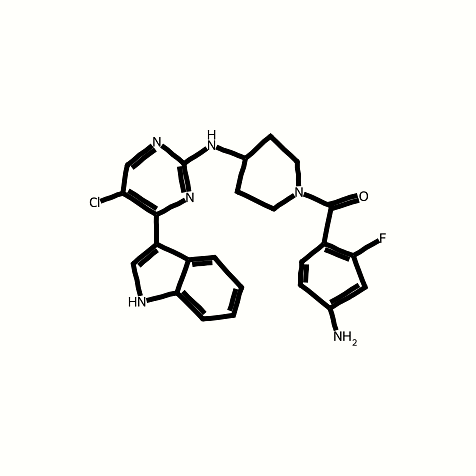 Nc1ccc(C(=O)N2CCC(Nc3ncc(Cl)c(-c4c[nH]c5ccccc45)n3)CC2)c(F)c1